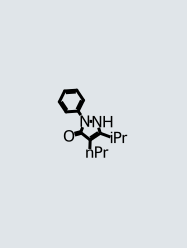 CCCc1c(C(C)C)[nH]n(-c2ccccc2)c1=O